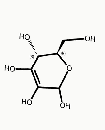 OC[C@H]1OC(O)C(O)=C(O)[C@@H]1O